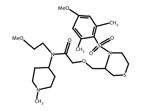 COCCN(C(=O)COCC1CSCCN1S(=O)(=O)c1c(C)cc(OC)cc1C)C1CCN(C)CC1